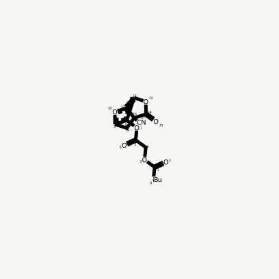 CCC(C)C(=O)OCC(=O)Oc1c2oc3c1OC(=O)C3(C#N)C2